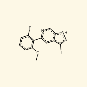 COc1cccc(F)c1-c1cc2c(I)n[nH]c2cn1